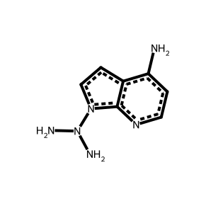 Nc1ccnc2c1ccn2N(N)N